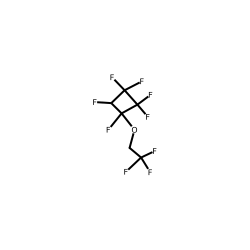 FC1C(F)(F)C(F)(F)C1(F)OCC(F)(F)F